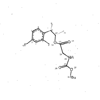 Cc1cc(F)ccc1[C@H](C)[C@H](C)OC(=O)CNC(=O)OC(C)(C)C